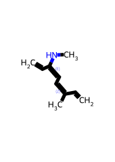 C=C/C(C)=C\C=C(/C=C)NC